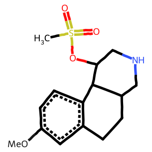 COc1ccc2c(c1)CCC1CNCC(OS(C)(=O)=O)C21